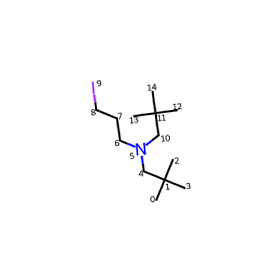 CC(C)(C)CN(CCCI)CC(C)(C)C